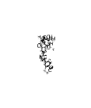 COc1ccc(-c2nnc(C3=CC(Cl)C([C@]4(C)CS(=O)(=O)C(C)(C)C(=N)N4)S3)o2)cc1